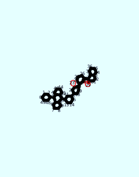 c1ccc(-c2c3ccccc3c(-c3cccc(-c4ccc5c(c4)oc4ccc6c(oc7ccc8ccccc8c76)c45)c3)c3ccccc23)cc1